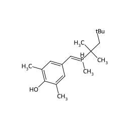 Cc1cc(/C=[PH](\C)C(C)(C)CC(C)(C)C)cc(C)c1O